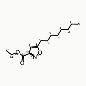 CCCCCCCCc1cc(C(=O)OCC)no1